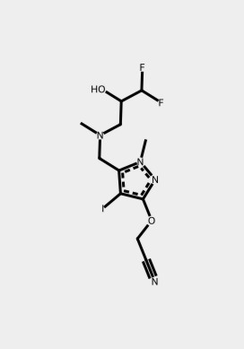 CN(Cc1c(I)c(OCC#N)nn1C)CC(O)C(F)F